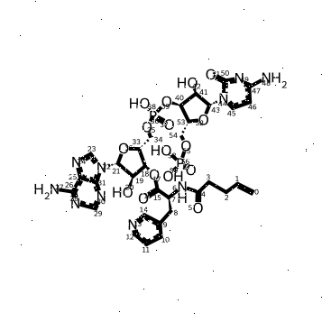 C=CCCC(=O)N[C@@H](Cc1cccnc1)C(=O)O[C@H]1[C@@H](O)[C@H](n2cnc3c(N)ncnc32)O[C@@H]1COP(=O)(O)O[C@H]1[C@@H](O)[C@H](n2ccc(N)nc2=O)O[C@@H]1COP(=O)(O)O